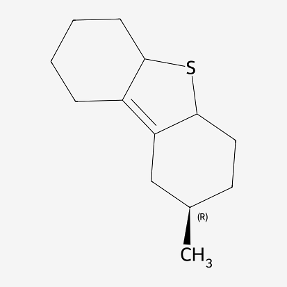 C[C@@H]1CCC2SC3CCCCC3=C2C1